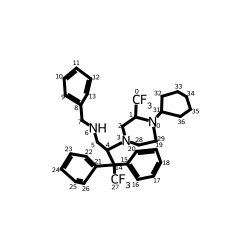 FC(F)(F)C1CN(C(CNCc2ccccc2)C(c2ccccc2)(c2ccccc2)C(F)(F)F)CCN1C1CCCCC1